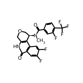 CN(C(=O)c1ccc(C(F)(F)F)c(F)c1)[C@@H]1COCc2[nH]c(=O)c3cc(F)c(F)cc3c21